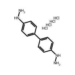 Cl.Cl.Cl.Cl.NNc1ccc(-c2ccc(NN)cc2)cc1